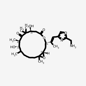 CC(=Cc1coc(CN)n1)[C@@H]1C[C@@H]2OC2(C)CCCC(C)[C@H](O)[C@@H](C)C(=O)C(C)(C)[C@@H](O)CC(=O)O1